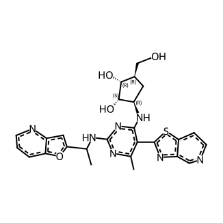 Cc1nc(NC(C)c2cc3ncccc3o2)nc(N[C@@H]2C[C@H](CO)[C@@H](O)[C@H]2O)c1-c1nc2cnccc2s1